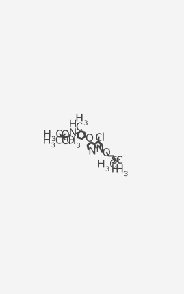 Cc1cc(Oc2ccnc3c2c(Cl)cn3COCC[SiH](C)C)ccc1NC(=O)OC(C)(C)C